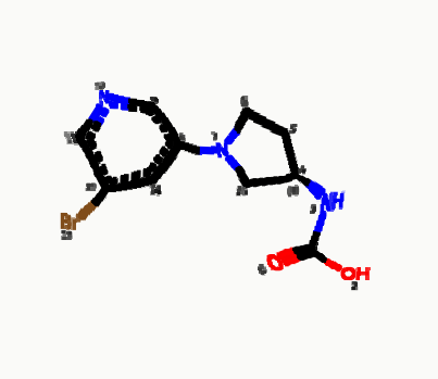 O=C(O)N[C@@H]1CCN(c2cncc(Br)c2)C1